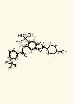 CC(C)(O)c1cc2nc(C3CCC(O)CC3)sc2cc1NC(=O)c1cccc(C(F)(F)F)n1